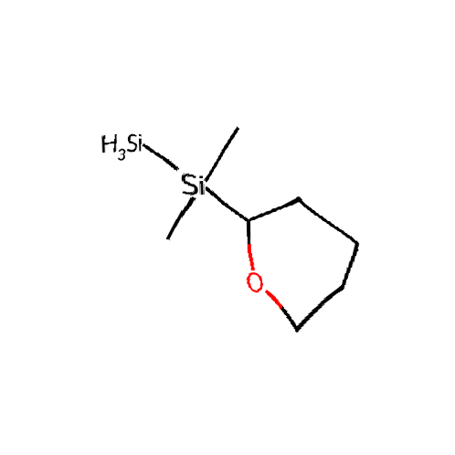 C[Si](C)([SiH3])C1CCCCO1